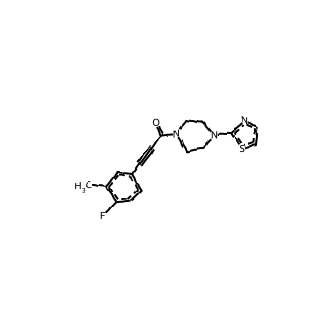 Cc1cc(C#CC(=O)N2CCN(c3nccs3)CC2)ccc1F